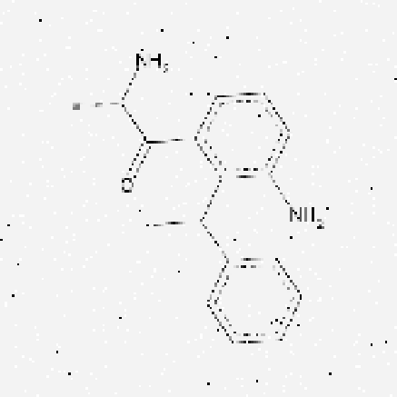 [CH2]C(c1ccccc1)c1c(N)cccc1C(=O)[C@H](C)N